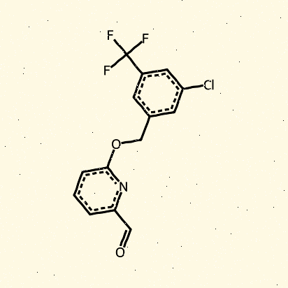 O=Cc1cccc(OCc2cc(Cl)cc(C(F)(F)F)c2)n1